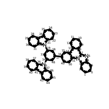 c1ccc2c(c1)nc1c3ccccc3c3cc(-c4cc(-n5c6ccccc6c6ccccc65)cc(-n5c6ccccc6c6ccccc65)c4)ccc3n21